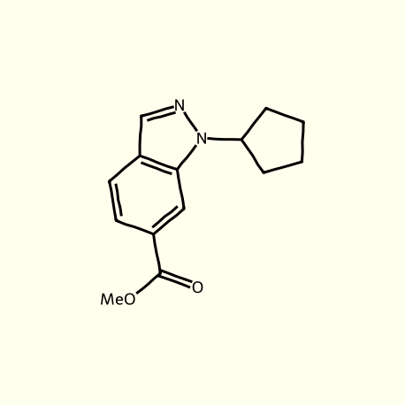 COC(=O)c1ccc2cnn(C3CCCC3)c2c1